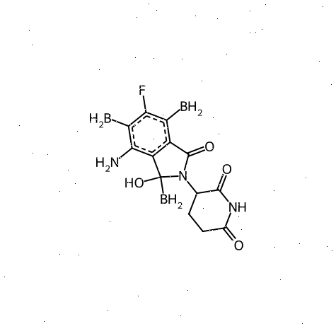 Bc1c(N)c2c(c(B)c1F)C(=O)N(C1CCC(=O)NC1=O)C2(B)O